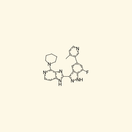 Cc1ccncc1-c1cc(F)c2[nH]nc(-c3nc4c(N5CCCCC5)nccc4[nH]3)c2c1